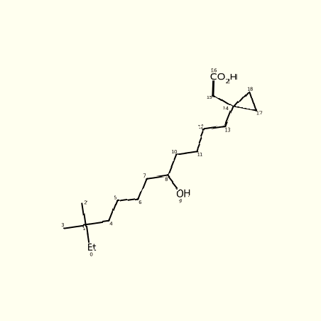 CCC(C)(C)CCCCC(O)CCCCC1(CC(=O)O)CC1